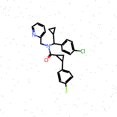 O=C(C1CC1c1ccc(F)cc1)N(Cc1ccccn1)C(c1ccc(Cl)cc1)C1CC1